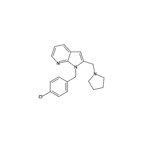 Clc1ccc(Cn2c(CN3CCCC3)cc3cccnc32)cc1